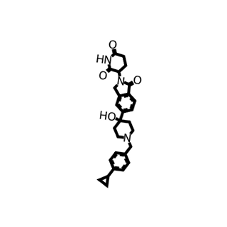 O=C1CCC(N2Cc3cc(C4(O)CCN(Cc5ccc(C6CC6)cc5)CC4)ccc3C2=O)C(=O)N1